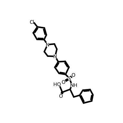 O=C(O)C(Cc1ccccc1)NS(=O)(=O)c1ccc(N2CCN(c3ccc(Cl)cc3)CC2)cc1